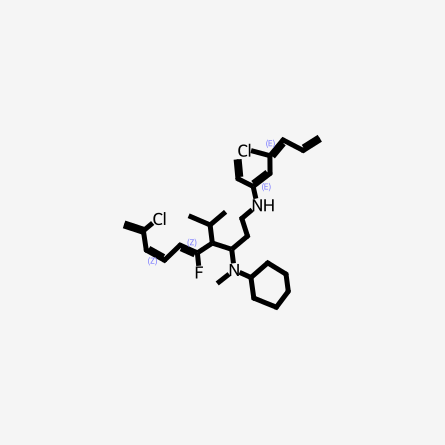 C=C/C=C(Cl)\C=C(/C=C)NCCC(C(/C(F)=C/C=C\C(=C)Cl)C(C)C)N(C)C1CCCCC1